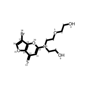 OCCOCCN(CCO)c1cc(=S)c2occ(Br)c2o1